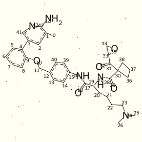 Cc1cc(-c2ccccc2OCc2ccc(NC(=O)C(CCCCN(C)C)NC(=O)C3(C(=O)C4CO4)CCC3)cc2)cnc1N